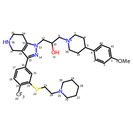 COc1ccc(C2CCN(CC(O)Cn3nc(-c4ccc(C(F)(F)F)c(SCCN5CCCCC5)c4)c4c3CCNC4)CC2)cc1